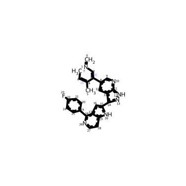 C=N/C=C(\C(C)=C/C)c1cnc2[nH]nc(-c3cc4c(-c5ccc(F)cc5)nccc4[nH]3)c2c1